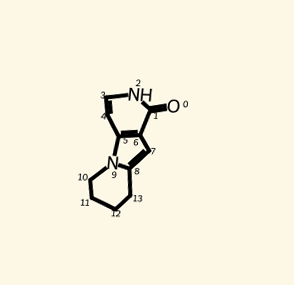 O=c1[nH]ccc2c1cc1n2CCCC1